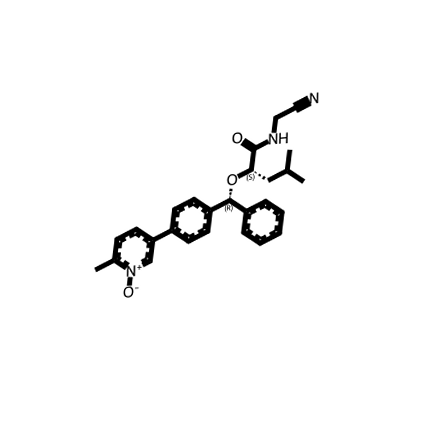 Cc1ccc(-c2ccc([C@H](O[C@@H](CC(C)C)C(=O)NCC#N)c3ccccc3)cc2)c[n+]1[O-]